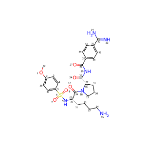 COc1ccc(S(=O)(=O)N[C@@H](CCCCN)C(=O)N2CCC[C@H]2C(=O)NC(=O)c2ccc(C(=N)N)cc2)cc1